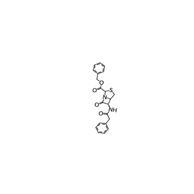 O=C(Cc1ccccc1)N[C@H]1C(=O)N2C(C(=O)OCc3ccccc3)SCC12